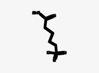 COC(=O)CCCCS(=O)(=O)Cl